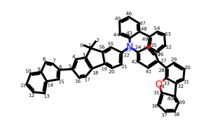 CC1(C)c2cc(-c3ccc4ccccc4c3)ccc2-c2ccc(N(c3ccc(-c4cccc5c4oc4ccccc45)cc3)c3ccccc3-c3ccccc3)cc21